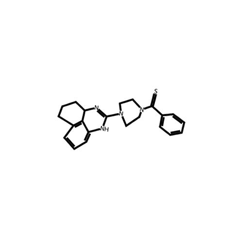 S=C(c1ccccc1)N1CCN(C2=NC3CCCc4cccc(c43)N2)CC1